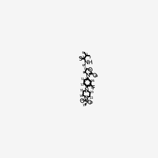 CC(C)C(=S)NC[C@H]1CN(c2ccc(N3CCN(S(C)(=O)=O)CC3)c(F)c2)C(=O)O1